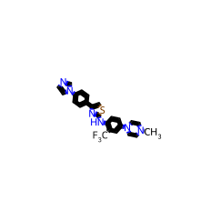 CN1CCN(c2ccc(Nc3nc(-c4ccc(-n5ccnc5)cc4)cs3)c(C(F)(F)F)c2)CC1